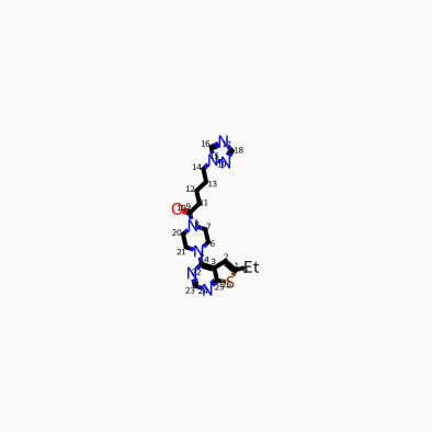 CCc1cc2c(N3CCN(C(=O)CCCCn4cncn4)CC3)ncnc2s1